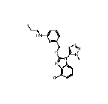 CCCNc1cccc(COc2nc3c(Cl)cccc3n2-c2nnnn2C)n1